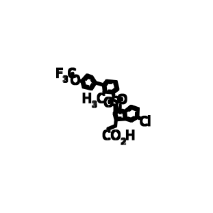 Cc1c(-c2ccc(OC(F)(F)F)cc2)cccc1S(=O)(=O)n1cc(CCC(=O)O)c2cc(Cl)ccc21